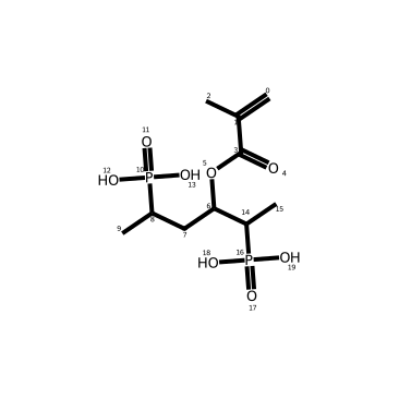 C=C(C)C(=O)OC(CC(C)P(=O)(O)O)C(C)P(=O)(O)O